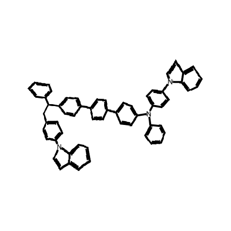 c1ccc(C(Cc2ccc(-n3ccc4ccccc43)cc2)c2ccc(-c3ccc(-c4ccc(N(c5ccccc5)c5ccc(-n6ccc7ccccc76)cc5)cc4)cc3)cc2)cc1